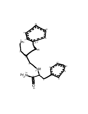 C[C](C)CC(CNC(Cc1ccccc1)C(N)=O)Cc1ccccc1